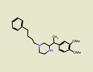 COc1ccc(C(C)C2CN(CCCCc3ccccc3)CCN2)cc1OC